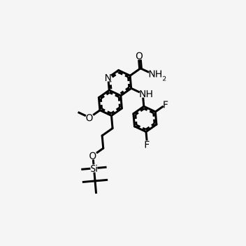 COc1cc2ncc(C(N)=O)c(Nc3ccc(F)cc3F)c2cc1CCCO[Si](C)(C)C(C)(C)C